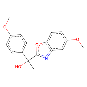 COc1ccc(C(C)(O)c2nc3cc(OC)ccc3o2)cc1